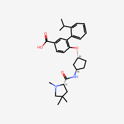 CC(C)c1ccccc1-c1cc(C(=O)O)ccc1O[C@@H]1CC[C@@H](NC(=O)[C@@H]2CC(C)(C)CN2C)C1